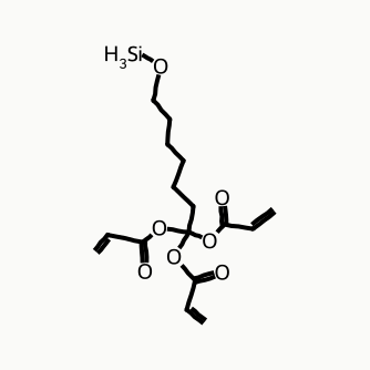 C=CC(=O)OC(CCCCCCO[SiH3])(OC(=O)C=C)OC(=O)C=C